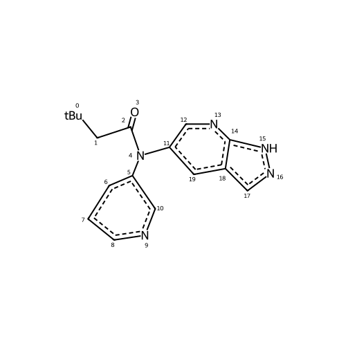 CC(C)(C)CC(=O)N(c1cccnc1)c1cnc2[nH]ncc2c1